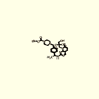 CC(Nc1ncc2ccc(=O)n(CC(C)(C)CO)c2n1)c1ccc(CN2CCN(C(=O)OC(C)(C)C)CC2)cc1